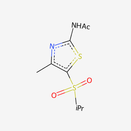 CC(=O)Nc1nc(C)c(S(=O)(=O)C(C)C)s1